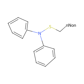 CCCCCCCCCCSN(c1ccccc1)c1ccccc1